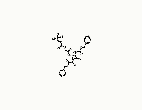 O=C(COC(=O)OCC(Cl)(Cl)Cl)O[C@@H]1[C@H](NC(=O)OCc2ccccc2)C(=O)N1C(Cl)C(=O)OCc1ccccc1